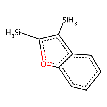 [SiH3]c1oc2ccccc2c1[SiH3]